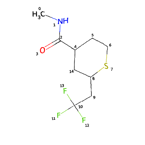 CNC(=O)C1CCSC(CC(F)(F)F)C1